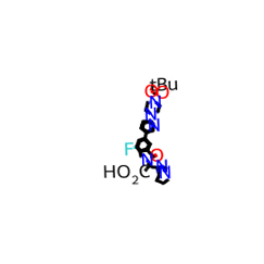 CC(C)(C)OC(=O)N1CCN(c2ccc(-c3cc(F)c4c(c3)C(=O)N(C(C(=O)O)c3ncn5c3CCC5)C4)cn2)CC1